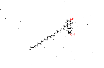 CCCCCCCCCCCCCCCCCCCCCCC(c1ccc(O)cc1)c1ccc(O)cc1